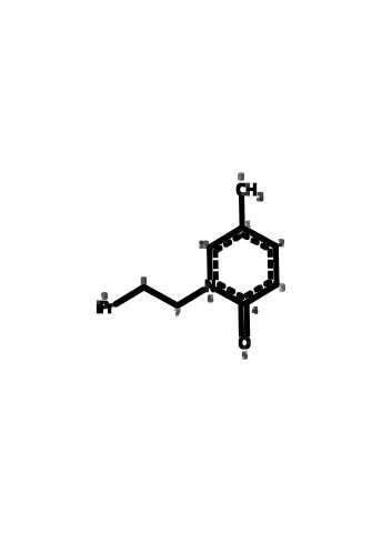 Cc1ccc(=O)n(CCC(C)C)c1